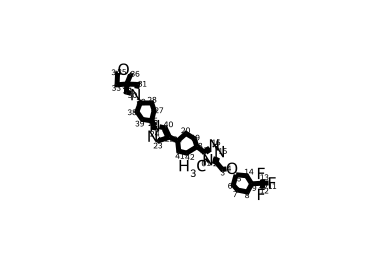 Cn1c(COC2CCCC(C(F)(F)F)C2)nnc1C1CCC(c2cnn(C3CCC(N4CC5(CCOC5)C4)CC3)c2)CC1